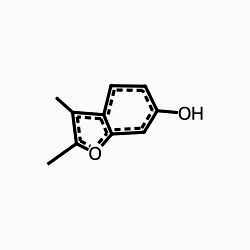 Cc1oc2cc(O)ccc2c1C